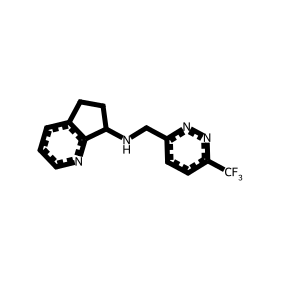 FC(F)(F)c1ccc(CNC2CCc3cccnc32)nn1